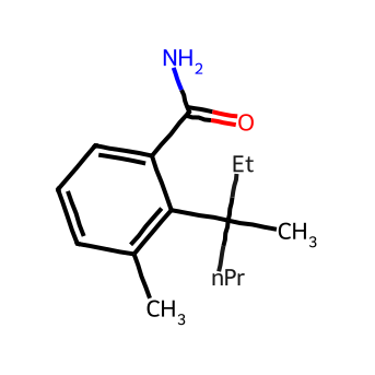 CCCC(C)(CC)c1c(C)cccc1C(N)=O